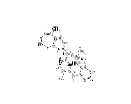 CN1CCNCc2cc(Nc3ncc(Cl)c(Nc4ccccc4NS(C)(=O)=O)n3)ccc21